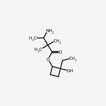 CCC1(O)CCC1OC(=O)C(C)(C)C(C)N